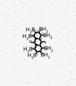 Bc1c(B)c(B)c2c(C)c3c(B)c(B)c(B)c(B)c3c(C)c2c1B